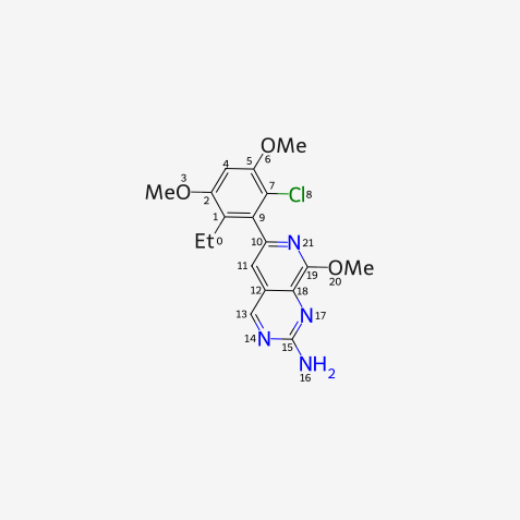 CCc1c(OC)cc(OC)c(Cl)c1-c1cc2cnc(N)nc2c(OC)n1